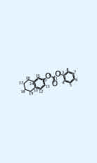 O=C(Oc1ccccc1)Oc1ccc2c(c1)CCCC2